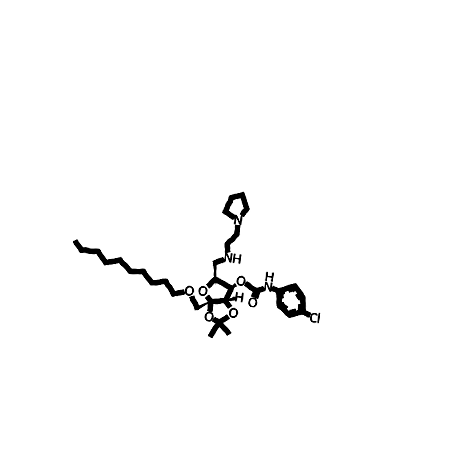 CCCCCCCCCCOC[C@@]12O[C@@H](CNCCN3CCCC3)[C@@H](OC(=O)Nc3ccc(Cl)cc3)[C@@H]1OC(C)(C)O2